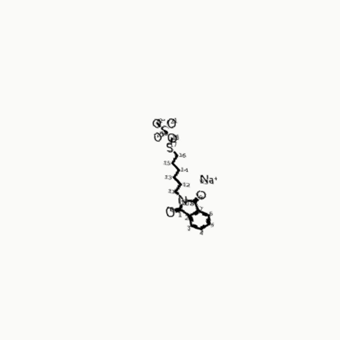 O=C1c2ccccc2C(=O)N1CCCCCCSOS(=O)(=O)[O-].[Na+]